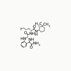 CC1(C)CCC[C@@H](NC(=O)[C@H](CCCI)NC(=O)CNc2ccccc2C(=N)C(N)=O)C1